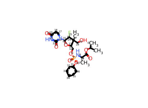 CC(C)OC(=O)[C@H](C)NP(=O)(OC[C@H]1O[C@@H](n2ccc(=O)[nH]c2=O)[C@@H](F)[C@]1(C)CO)Oc1ccccc1